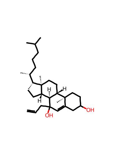 C=CCC1(O)C=C2CC(O)CC[C@]2(C)[C@H]2CC[C@]3(C)[C@@H]([C@H](C)CCCC(C)C)CC[C@H]3[C@@H]21